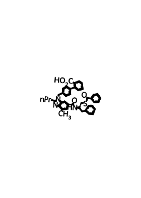 CCCc1nc2c(C)cc(C(=O)N[C@@H](CSC(=O)c3ccccc3)Cc3ccccc3)cc2n1Cc1ccc(-c2ccccc2C(=O)O)cc1